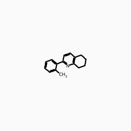 Cc1ccccc1-c1ccc2c(n1)CCCC2